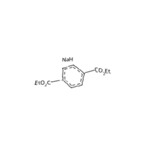 CCOC(=O)c1ccc(C(=O)OCC)cc1.[NaH]